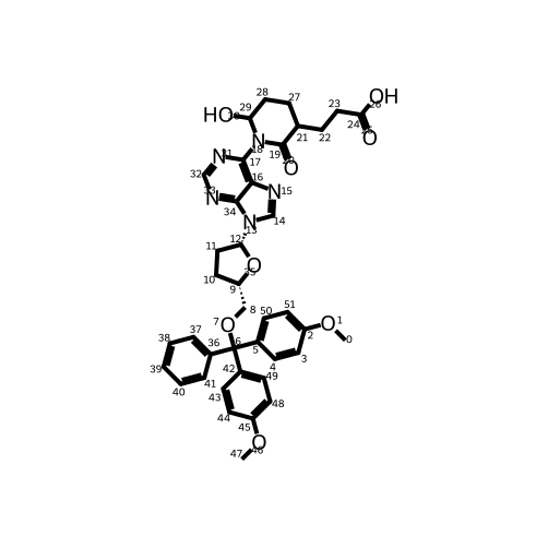 COc1ccc(C(OC[C@@H]2CC[C@H](n3cnc4c(N5C(=O)C(CCC(=O)O)CCC5O)ncnc43)O2)(c2ccccc2)c2ccc(OC)cc2)cc1